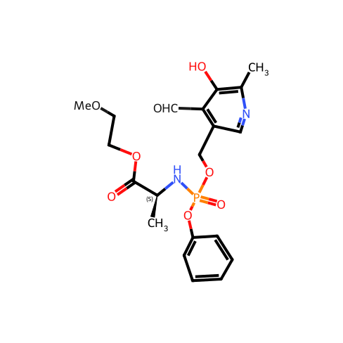 COCCOC(=O)[C@H](C)NP(=O)(OCc1cnc(C)c(O)c1C=O)Oc1ccccc1